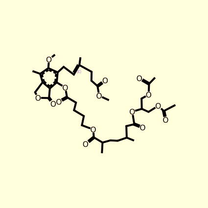 COC(=O)CC/C(C)=C/Cc1c(OC)c(C)c2c(c1OC(=O)CCCCOC(=O)C(C)CCC(C)CC(=O)OC(COC(C)=O)COC(C)=O)C(=O)OC2